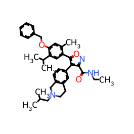 CCNC(=O)c1noc(-c2cc(C(C)C)c(OCc3ccccc3)cc2C)c1-c1ccc2c(c1)CCN(CC(C)C)C2